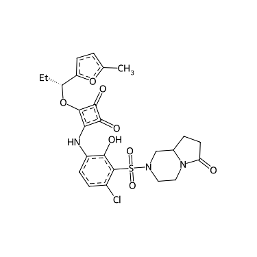 CC[C@@H](Oc1c(Nc2ccc(Cl)c(S(=O)(=O)N3CCN4C(=O)CCC4C3)c2O)c(=O)c1=O)c1ccc(C)o1